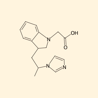 CC(CC1CN(CC(=O)O)c2ccccc21)n1ccnc1